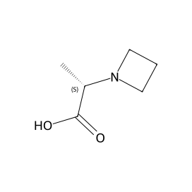 C[C@@H](C(=O)O)N1CCC1